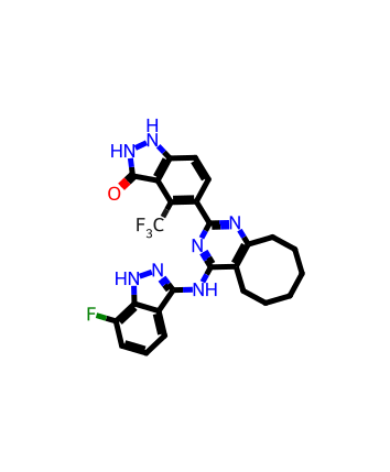 O=c1[nH][nH]c2ccc(-c3nc4c(c(Nc5n[nH]c6c(F)cccc56)n3)CCCCCC4)c(C(F)(F)F)c12